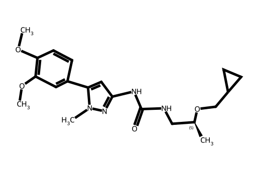 COc1ccc(-c2cc(NC(=O)NC[C@H](C)OCC3CC3)nn2C)cc1OC